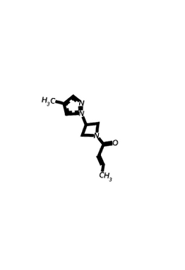 C/C=C/C(=O)N1CC(n2cc(C)cn2)C1